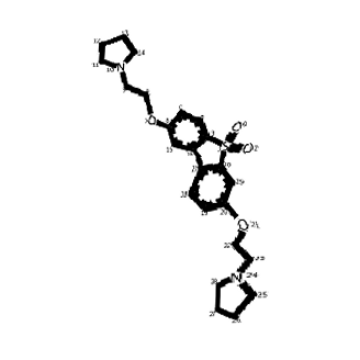 O=S1(=O)c2ccc(OCCN3CCCC3)cc2-c2ccc(OCCN3CCCC3)cc21